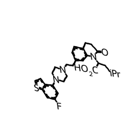 CC(C)CC(C(=O)O)N1C(=O)CCc2ccc(CCN3CCN(c4cc(F)cc5sccc45)CC3)cc21